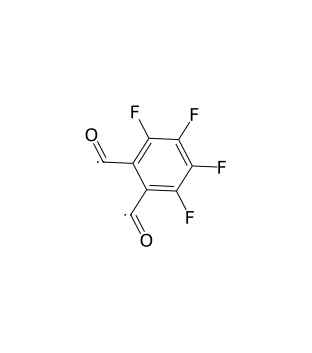 O=[C]c1c(F)c(F)c(F)c(F)c1[C]=O